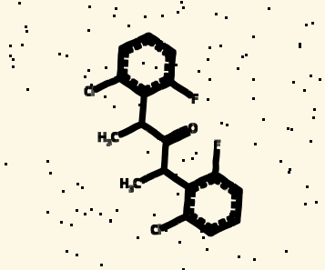 CC(C(=O)C(C)c1c(F)cccc1Cl)c1c(F)cccc1Cl